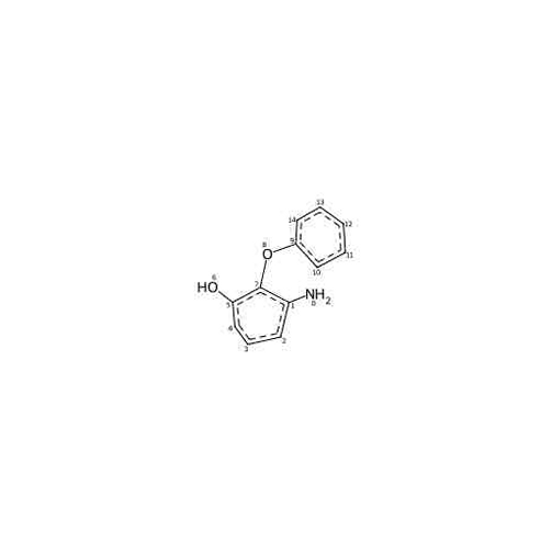 Nc1cccc(O)c1Oc1ccccc1